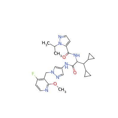 COc1nccc(F)c1Cn1cc(NC(=O)C(NC(=O)c2ccnn2C(C)C)C(C2CC2)C2CC2)cn1